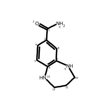 NC(=O)c1ccc2c(c1)NCCCN2